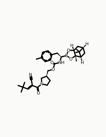 Cc1ccc(C[C@H](NC(=O)OC[C@H]2CCN(C(=O)/C(C#N)=C/C(C)(C)C)C2)B2O[C@@H]3C[C@@H]4C[C@@H](C4(C)C)[C@]3(C)O2)cc1